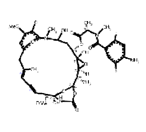 COc1cc2cc(c1Cl)N(C)C(O)C[C@H](OC(=O)[C@H](C)N(C)C(=O)c1cc(F)c(N)cc1F)[C@]1(C)O[C@H]1[C@H](C)[C@@H]1C[C@@](O)(NC(=O)O1)[C@H](OC)/C=C/C=C(\C)C2